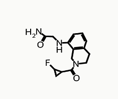 NC(=O)CNc1cccc2c1CN(C(=O)C1CC1F)CC2